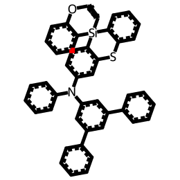 c1ccc(-c2cc(-c3ccccc3)cc(N(c3ccccc3)c3ccc4c(c3)Sc3ccccc3[Si]43c4ccccc4Oc4ccccc43)c2)cc1